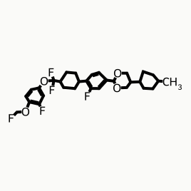 CC1CCC(C2COC(c3ccc(C4CCC(C(F)(F)Oc5ccc(OCF)c(F)c5)CC4)c(F)c3)OC2)CC1